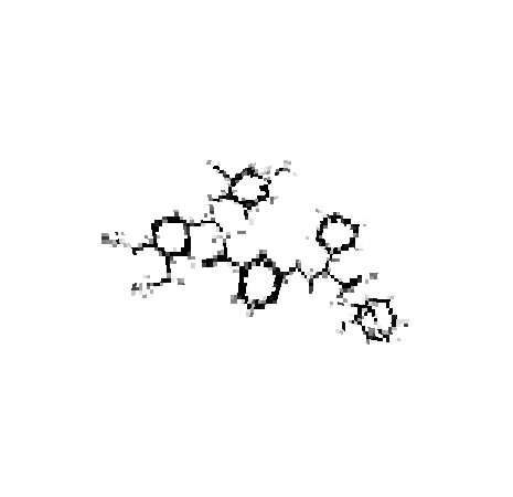 COc1ccc([C@H](Cc2c(Cl)c[n+]([O-])cc2Cl)OC(=O)c2cccc(CNC(C(=O)O[C@H]3CN4CCC3CC4)c3ccccc3)c2)cc1OC